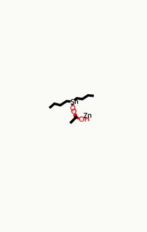 CC(=O)O.CCC[CH2][Sn](=[O])[CH2]CCC.[Zn]